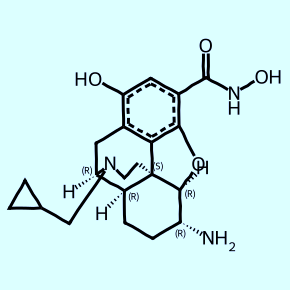 N[C@@H]1CC[C@H]2[C@H]3Cc4c(O)cc(C(=O)NO)c5c4[C@@]2(CCN3CC2CC2)[C@H]1O5